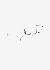 CC(Cl)C(=O)NC1CCO1